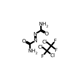 FC(F)(Cl)C(F)(Cl)Cl.NC(=O)N=NC(N)=O